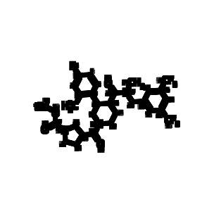 Cc1cc(F)ccc1C1CN(C(=O)C2CCN(C(=O)OC(C)(C)C)C2)CCC1C(=O)N(C)Cc1cc(C(F)(F)F)cc(C(F)(F)F)c1